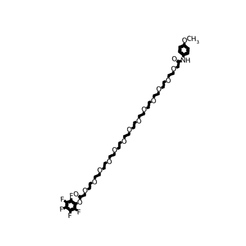 COc1ccc(NC(=O)COCCOCCOCCOCCOCCOCCOCCOCCOCCOCCOCCOCCOCC(=O)Oc2c(F)c(F)c(F)c(F)c2F)cc1